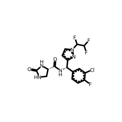 O=C1NC[C@@H](C(=O)N[C@@H](c2ccc(F)c(Cl)c2)c2ccn(C(F)C(F)F)n2)N1